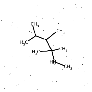 CNC(C)(C)C(C)C(C)C